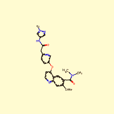 CCn1cc(NC(=O)Cc2ccc(Oc3ccnc4cc(OC)c(C(=O)N(C)C)cc34)cn2)cn1